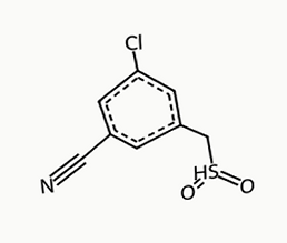 N#Cc1cc(Cl)cc(C[SH](=O)=O)c1